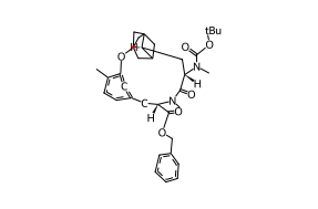 Cc1ccc2cc1OC13CC4CC(C1)(C3)[C@H]4C[C@H](N(C)C(=O)OC(C)(C)C)C(=O)N(C)[C@H](C(=O)OCc1ccccc1)C2